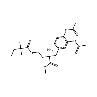 CCC(C)(C)C(=O)OCC[C@@](N)(Cc1ccc(OC(C)=O)c(OC(C)=O)c1)C(=O)OC